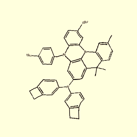 Cc1ccc2c(c1)B1c3cc(C(C)(C)C)ccc3N(c3ccc(C(C)(C)C)cc3)c3cc(N(c4ccc5c(c4)CC5)c4ccc5c(c4)CC5)cc(c31)C2(C)C